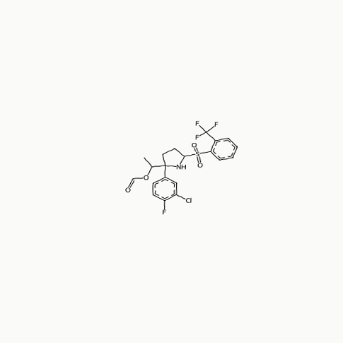 CC(OC=O)C1(c2ccc(F)c(Cl)c2)CCC(S(=O)(=O)c2ccccc2C(F)(F)F)N1